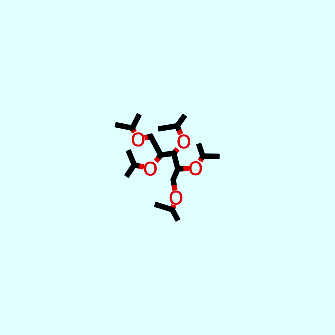 CC(C)OCC(OC(C)C)C(OC(C)C)C(COC(C)C)OC(C)C